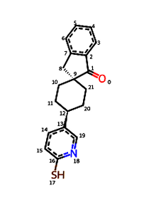 O=C1c2ccccc2C[C@]12CC[C@H](c1ccc(S)nc1)CC2